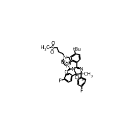 CCOc1cc(C(C)(C)C)ccc1C1=N[C@@](C)(c2ccc(F)cc2)[C@@](C)(c2ccc(F)cc2)N1C(=O)N1CCN(CCCS(C)(=O)=O)CC1